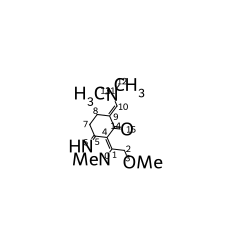 CN/C(COC)=C1\C(=N)CC/C(=C\N(C)C)C1=O